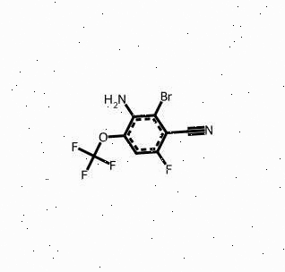 N#Cc1c(F)cc(OC(F)(F)F)c(N)c1Br